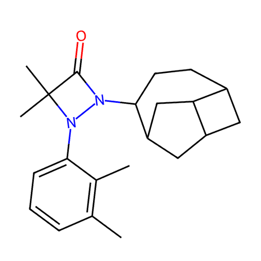 Cc1cccc(N2N(C3CCC4CC5CC3CC45)C(=O)C2(C)C)c1C